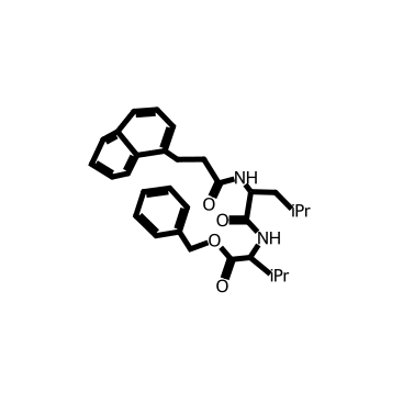 CC(C)CC(NC(=O)CCc1cccc2ccccc12)C(=O)NC(C(=O)OCc1ccccc1)C(C)C